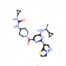 C[C@H](Nc1cc(C(=O)N2CCC(NC(=O)NC3CC3)CC2)nc(-c2cnn3ccsc23)n1)C1CC1